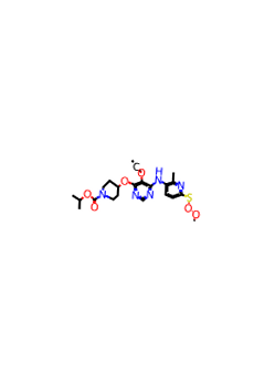 CCOc1c(Nc2ccc(SOOC)nc2C)ncnc1OC1CCN(C(=O)OC(C)C)CC1